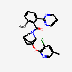 COc1cccc(-c2ncccn2)c1C(=O)N1CC2CCC1C(Oc1ncc(C)cc1Cl)C2